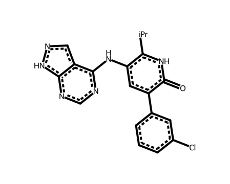 CC(C)c1[nH]c(=O)c(-c2cccc(Cl)c2)cc1Nc1ncnc2[nH]ncc12